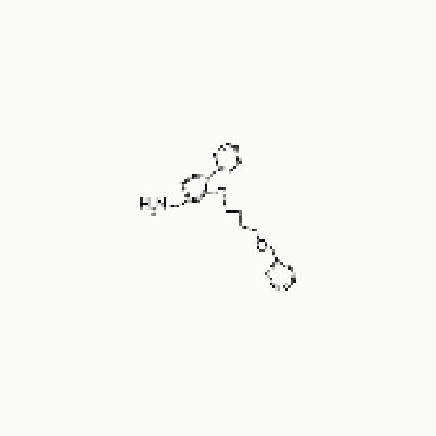 NCc1ccc(-c2ccccc2)c(OCCCCOCc2ccccc2)c1